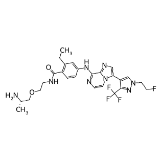 CCc1cc(Nc2nccn3c(-c4cn(CCF)nc4C(F)(F)F)cnc23)ccc1C(=O)NCCOC[C@H](C)N